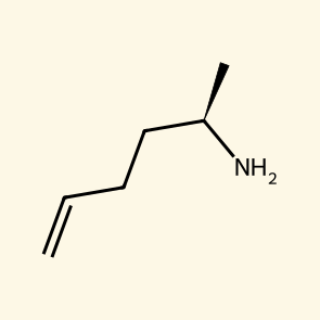 C=CCC[C@@H](C)N